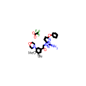 COc1c(N2CCOCC2)cc(C(=O)C[n+]2nc(N)n3nc(Oc4ccccc4)ccc32)cc1C(C)(C)C.O=C([O-])C(F)(F)F